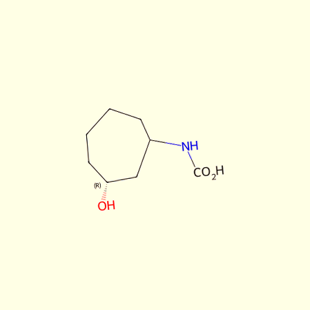 O=C(O)NC1CCCC[C@@H](O)C1